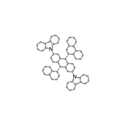 c1ccc2c(-c3c4cc(-n5c6ccccc6c6ccccc65)ccc4c(-c4cc5ccccc5c5ccccc45)c4cc(-n5c6ccccc6c6ccccc65)ccc34)cccc2c1